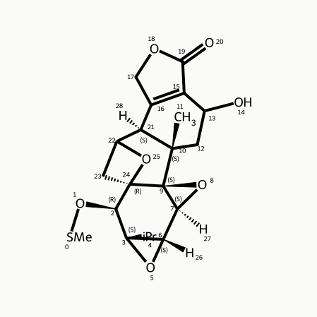 CSO[C@@H]1[C@@]2(C(C)C)O[C@H]2[C@@H]2O[C@@]23[C@@]2(C)CC(O)C4=C(COC4=O)[C@@H]2C2C[C@@]13O2